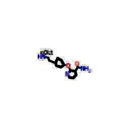 CCCCCCCCNCCc1ccc(Oc2ncccc2C(N)=O)cc1